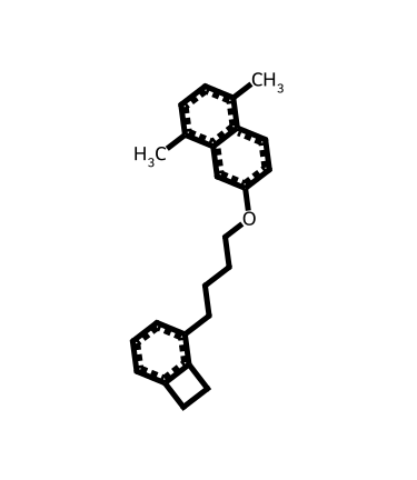 Cc1ccc(C)c2cc(OCCCCc3cccc4c3CC4)ccc12